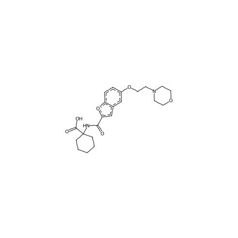 O=C(NC1(C(=O)O)CCCCC1)c1cc2cc(OCCN3CCOCC3)ccc2o1